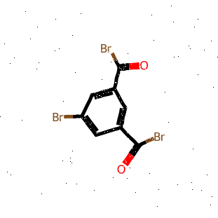 O=C(Br)c1cc(Br)cc(C(=O)Br)c1